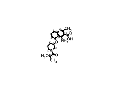 Cc1nc2cccc(OC3CCCN(C(=O)C(C)C)C3)c2c(N)c1C(=O)O